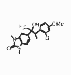 COc1ccc(C(C)C(O)(c2ccc3c(c2)n(C)c(=O)n3C)C(F)(F)F)c(Cl)c1